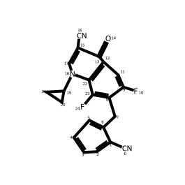 N#Cc1ccccc1Cc1c(F)cc2c(=O)c(C#N)cn(C3CC3)c2c1F